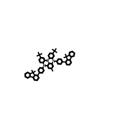 Cc1cc2c3c(c1)N(c1ccc(-c4cccc5c4C(C)(C)c4ccccc4-5)cc1)c1cc(C(C)(C)C)ccc1B3c1cc(C(C)(C)C)ccc1N2c1ccc(-c2cccc3c2C(C)(C)c2ccccc2-3)cc1